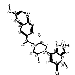 COc1cnc2ccc(C(C)N3C[C@H](C)N(c4cc(=O)n(C)c5c[nH]nc45)C[C@H]3C)cc2n1